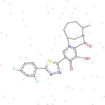 CC1CCCC2CN1C(=O)c1c(O)c(=O)c(-c3nnc(-c4ccc(F)cc4F)s3)cn12